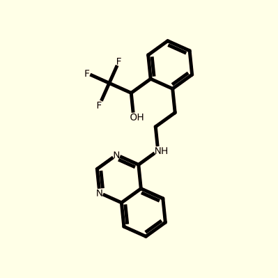 OC(c1ccccc1CCNc1ncnc2ccccc12)C(F)(F)F